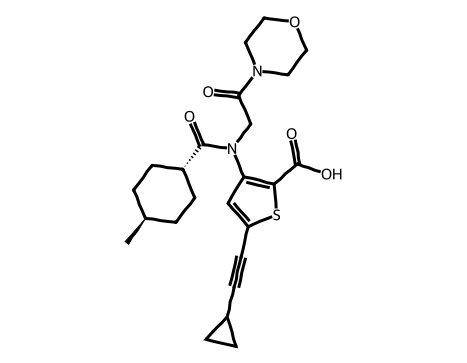 C[C@H]1CC[C@H](C(=O)N(CC(=O)N2CCOCC2)c2cc(C#CC3CC3)sc2C(=O)O)CC1